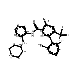 Nc1cc(C(F)(F)F)c(-c2c(F)cccc2F)nc1C(=O)Nc1cncnc1OC1CCNCC1